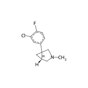 CN1C[C@@H]2CC2(c2ccc(F)c(Cl)c2)C1